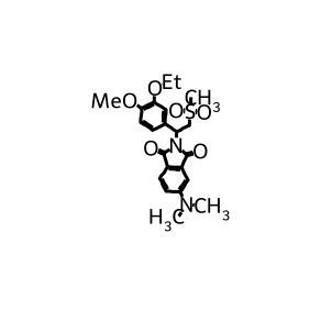 CCOc1cc(C(CS(C)(=O)=O)N2C(=O)c3ccc(N(C)C)cc3C2=O)ccc1OC